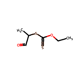 CCOC(=S)SC(C)[C]=O